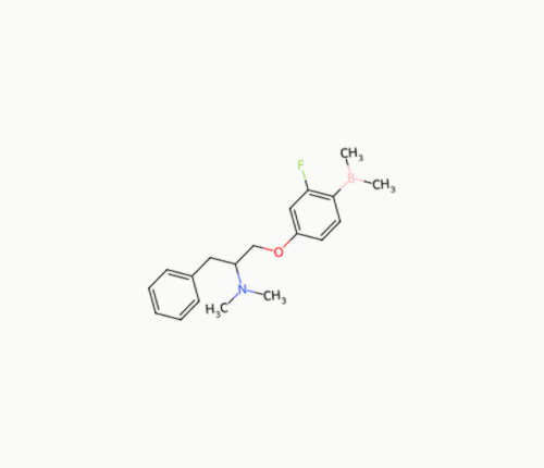 CB(C)c1ccc(OCC(Cc2ccccc2)N(C)C)cc1F